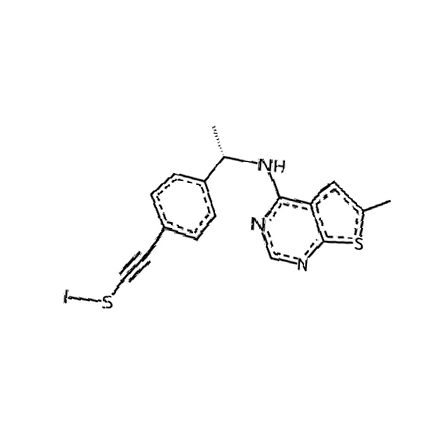 Cc1cc2c(N[C@@H](C)c3ccc(C#CSI)cc3)ncnc2s1